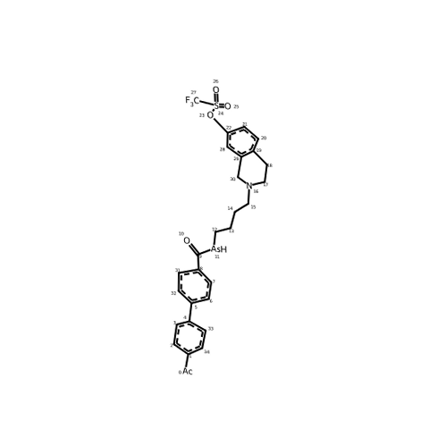 CC(=O)c1ccc(-c2ccc(C(=O)[AsH]CCCCN3CCc4ccc(OS(=O)(=O)C(F)(F)F)cc4C3)cc2)cc1